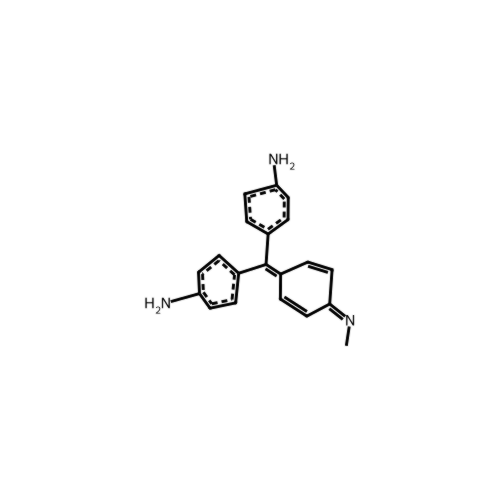 CN=C1C=CC(=C(c2ccc(N)cc2)c2ccc(N)cc2)C=C1